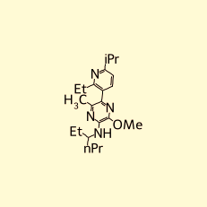 CCCC(CC)Nc1nc(C)c(-c2ccc(C(C)C)nc2CC)nc1OC